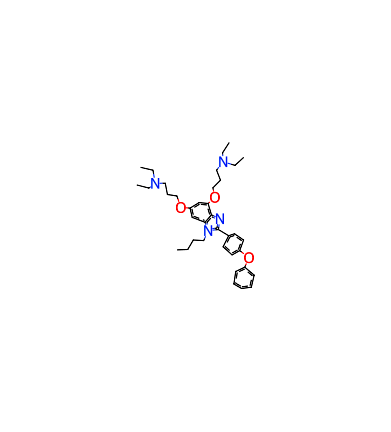 CCCCn1c(-c2ccc(Oc3ccccc3)cc2)nc2c(OCCCN(CC)CC)cc(OCCCN(CC)CC)cc21